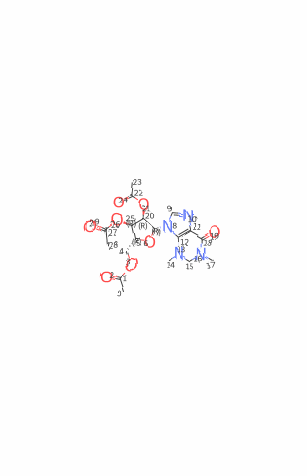 CC(=O)OC[C@H]1O[C@@H](n2cnc3c2N(C)CN(C)C3=O)[C@H](OC(C)=O)[C@@H]1OC(C)=O